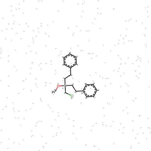 CC(C)O[Si](CCl)(CCc1ccccc1)CCc1ccccc1